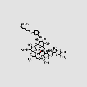 CCCCCC/C=C\CCCOc1cccc(C(=O)NC2C(OC3C(O)C(NC(C)=O)[C@H](O[C@@H](C)C(CO)OC(OC4C(O)C(NC(C)=O)[C@H](O[C@@H](C)C(CO)OC(C)[C@H](O)NC(C)=O)O[C@H]4CO)[C@H](O)NC(C)=O)O[C@H]3CO)OC(CO)C(O)C2O)c1